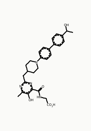 Cc1nc(CC2CCN(c3ccc(-c4ccc(C(C)O)cc4)cc3)CC2)nc(C(=O)NCC(=O)O)c1O